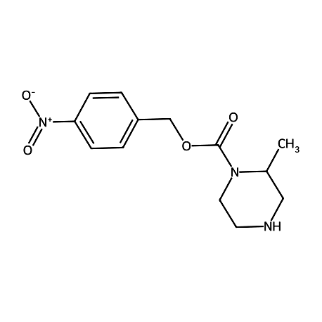 CC1CNCCN1C(=O)OCc1ccc([N+](=O)[O-])cc1